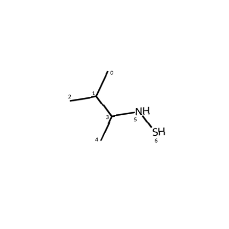 CC(C)C(C)NS